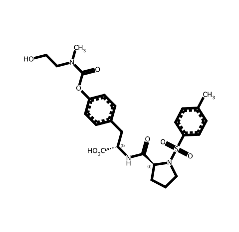 Cc1ccc(S(=O)(=O)N2CCC[C@H]2C(=O)N[C@@H](Cc2ccc(OC(=O)N(C)CCO)cc2)C(=O)O)cc1